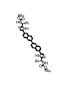 CC(C)[C@H](NC(=O)OC(C)(C)C)c1ncc(-c2ccc3cc(-c4ccc5cc(-c6cnc([C@@H](NC(=O)OC(C)(C)C)C(C)C)[nH]6)ccc5c4)ccc3c2)[nH]1